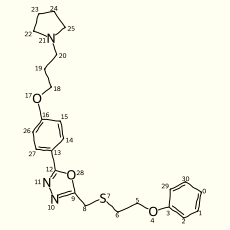 c1ccc(OCCSCc2nnc(-c3ccc(OCCCN4CCCC4)cc3)o2)cc1